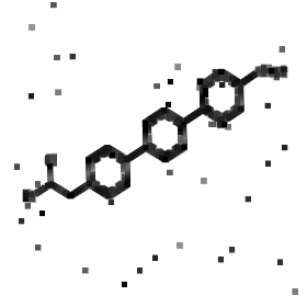 CCCCCCCc1cnc(-c2ccc(-c3ccc(CC(Cl)CC)cc3)cc2)nc1